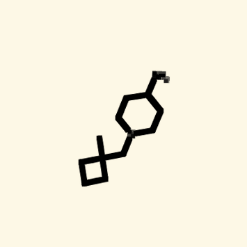 CC1(CN2CCC(N)CC2)CCC1